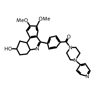 COc1cc2c(cc1OC)C1CC(O)CCC1N=C2c1ccc(C(=O)N2CCN(c3ccncc3)CC2)cc1